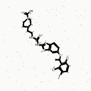 CC(Oc1ccc2nc(NC(=O)NCCC3CCN(C(=O)O)CC3)sc2c1)c1c(Cl)ccc(F)c1Cl